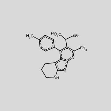 CCCC(C(=O)O)c1c(C)nc2sc3c(c2c1-c1ccc(C)cc1)CCCN3